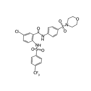 O=C(Nc1ccc(S(=O)(=O)N2CCOCC2)cc1)c1cc(Cl)ccc1NS(=O)(=O)c1ccc(C(F)(F)F)cc1